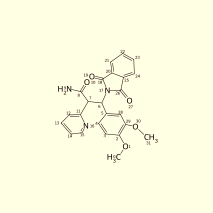 COc1ccc(C(C(C(N)=O)c2ccccn2)N2C(=O)c3ccccc3C2=O)cc1OC